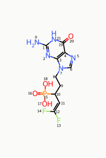 Nc1nc2c(ncn2CCC(C=C(F)F)P(=O)(O)O)c(=O)[nH]1